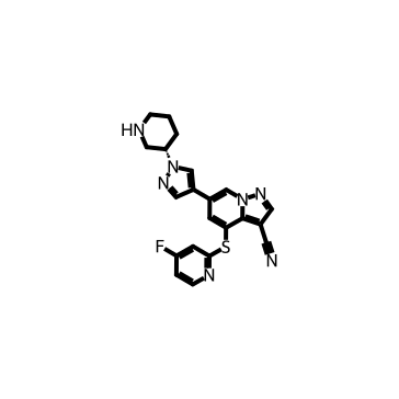 N#Cc1cnn2cc(-c3cnn([C@H]4CCCNC4)c3)cc(Sc3cc(F)ccn3)c12